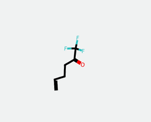 C=CCCC(=O)C(F)(F)F